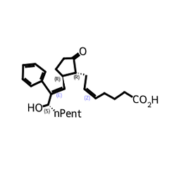 CCCCC[C@H](O)/C(=C/[C@H]1CCC(=O)[C@@H]1C/C=C\CCCC(=O)O)c1ccccc1